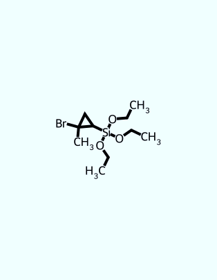 CCO[Si](OCC)(OCC)C1CC1(C)Br